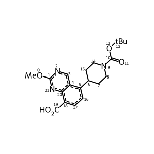 COc1ncc2c(C3CCN(C(=O)OC(C)(C)C)CC3)ccc(C(=O)O)c2n1